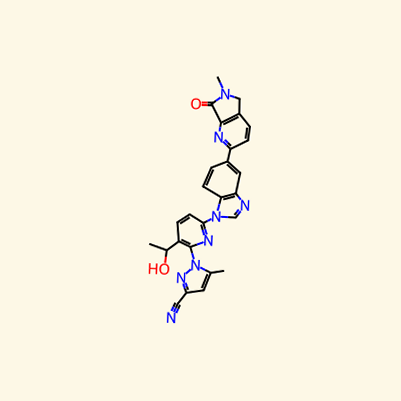 Cc1cc(C#N)nn1-c1nc(-n2cnc3cc(-c4ccc5c(n4)C(=O)N(C)C5)ccc32)ccc1C(C)O